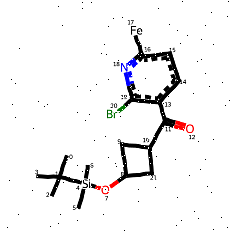 CC(C)(C)[Si](C)(C)OC1CC(C(=O)c2cc[c]([Fe])nc2Br)C1